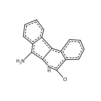 Nc1c2[nH]c(Cl)c3ccccc3c-2c2ccccc12